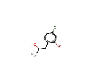 C[C@@H](O)Cc1ccc(Cl)cc1Br